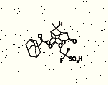 C[C@@H]1C2C3OC(=O)C2C(C(=O)OCC(F)(F)S(=O)(=O)O)C1C3OC(=O)C12CC3CC(CC(C3)C1)C2